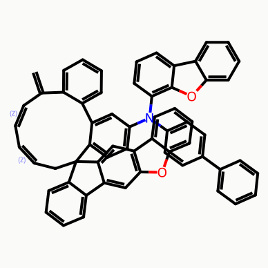 C=C1/C=C\C=C/CC2(c3ccc(N(c4ccc(-c5ccccc5)cc4)c4cccc5c4oc4ccccc45)cc3-c3ccccc31)c1ccccc1-c1cc3oc4ccccc4c3cc12